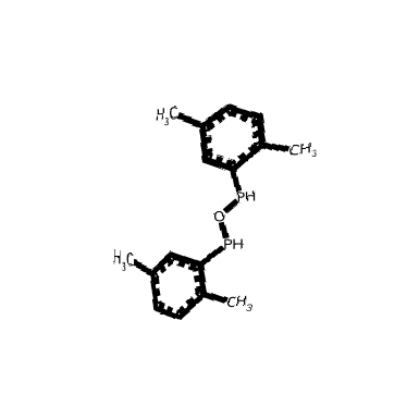 Cc1ccc(C)c(POPc2cc(C)ccc2C)c1